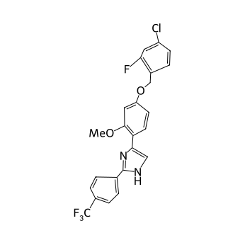 COc1cc(OCc2ccc(Cl)cc2F)ccc1-c1c[nH]c(-c2ccc(C(F)(F)F)cc2)n1